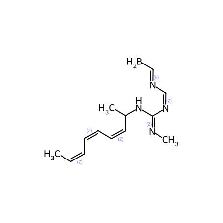 B/C=N/C=N\C(=N/C)NC(C)\C=C/C=C\C=C/C